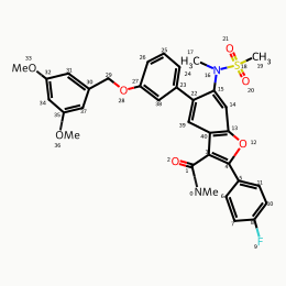 CNC(=O)c1c(-c2ccc(F)cc2)oc2cc(N(C)S(C)(=O)=O)c(-c3cccc(OCc4cc(OC)cc(OC)c4)c3)cc12